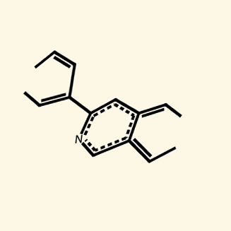 C/C=C\C(=C/C)c1cc(=C/C)/c(=C\C)cn1